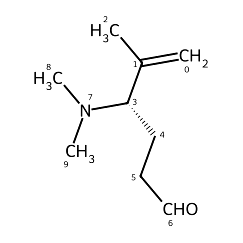 C=C(C)[C@H](CCC=O)N(C)C